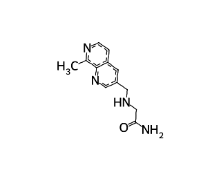 Cc1nccc2cc(CNCC(N)=O)cnc12